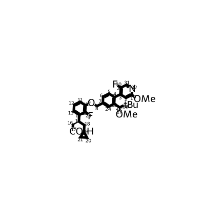 COc1cc(-c2ccc(COc3cccc([C@H](CC(=O)O)CC4CC4)c3F)cc2[C@@H](OC)C(C)(C)C)c(F)cn1